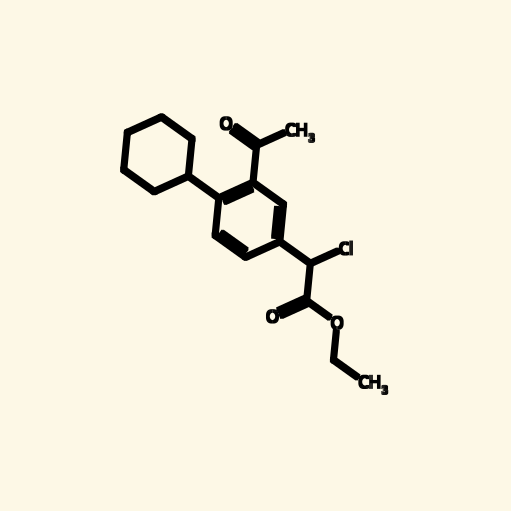 CCOC(=O)C(Cl)c1ccc(C2CCCCC2)c(C(C)=O)c1